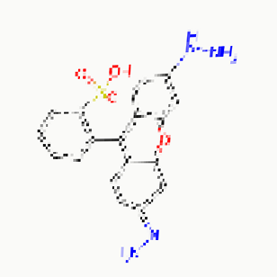 NN=c1ccc2c(-c3ccccc3S(=O)(=O)O)c3ccc(NN)cc3oc-2c1